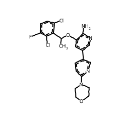 CC(Oc1cc(-c2ccc(N3CCOCC3)nc2)cnc1N)c1c(Cl)ccc(F)c1Cl